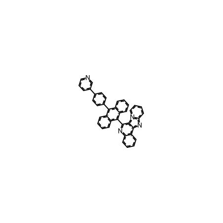 c1cncc(-c2ccc(-c3c4ccccc4c(-c4nc5ccccc5c5nc6ccccn6c45)c4ccccc34)cc2)c1